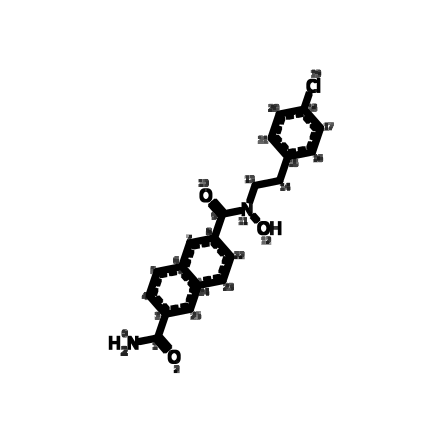 NC(=O)c1ccc2cc(C(=O)N(O)CCc3ccc(Cl)cc3)ccc2c1